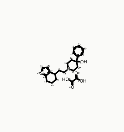 O=C(O)C(=O)O.OC1(c2ccccc2)CCN(CCC2CCCc3sccc32)CC1